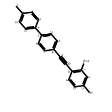 Cc1ccc(-c2ccc(C#Cc3ccc(C)cc3F)cc2)cc1